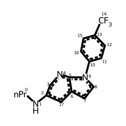 CCCNc1cnc2c(ccn2-c2ccc(C(F)(F)F)cc2)c1